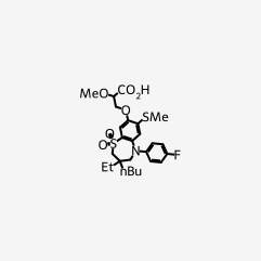 CCCCC1(CC)CN(c2ccc(F)cc2)c2cc(SC)c(OCC(OC)C(=O)O)cc2S(=O)(=O)C1